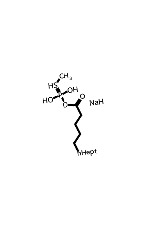 CCCCCCCCCCCC(=O)OP(O)(O)=[SH]C.[NaH]